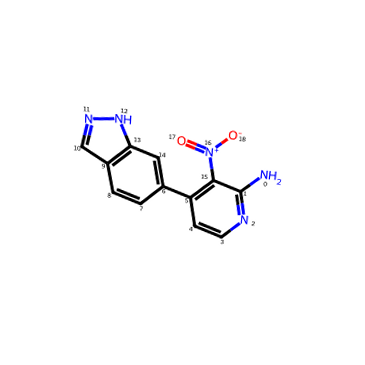 Nc1nccc(-c2ccc3cn[nH]c3c2)c1[N+](=O)[O-]